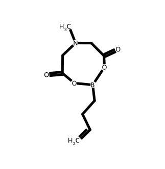 C=CCCB1OC(=O)CN(C)CC(=O)O1